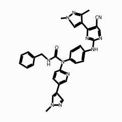 Cc1nn(C)cc1-c1nc(Nc2ccc(N(C(=O)NCc3ccccc3)c3ccc(-c4cnn(C)c4)cn3)cc2)ncc1C#N